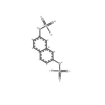 O=S(=O)(F)Oc1ccc2ccc(OS(=O)(=O)F)cc2c1